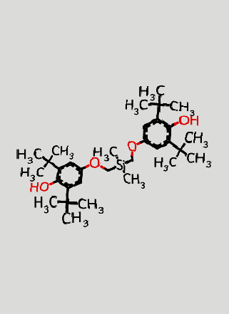 CC(C)(C)c1cc(OC[Si](C)(C)COc2cc(C(C)(C)C)c(O)c(C(C)(C)C)c2)cc(C(C)(C)C)c1O